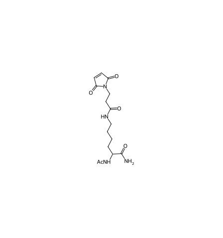 CC(=O)NC(CCCCNC(=O)CCN1C(=O)C=CC1=O)C(N)=O